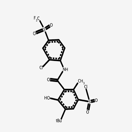 Cc1c(S(=O)(=O)Cl)cc(C(C)(C)C)c(O)c1C(=O)Nc1ccc(S(=O)(=O)C(F)(F)F)cc1Cl